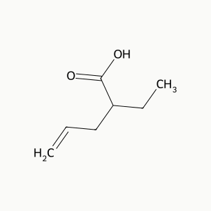 C=CCC(CC)C(=O)O